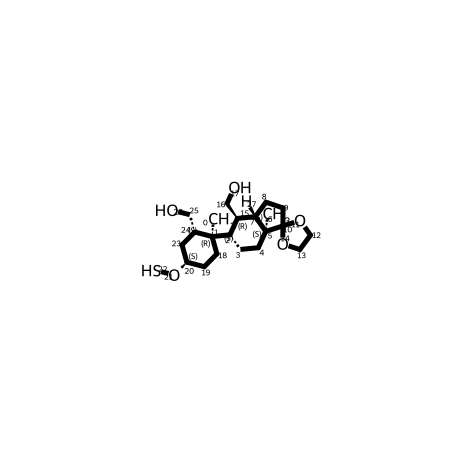 C[C@]1([C@H]2CC[C@@]3(C)[C@@H](CCC34OCCO4)[C@@H]2CO)CC[C@H](OS)C[C@@H]1CO